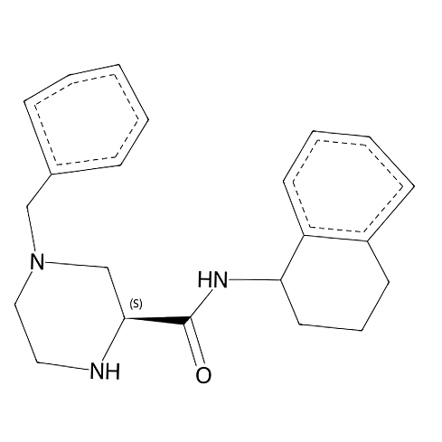 O=C(NC1CCCc2ccccc21)[C@@H]1CN(Cc2ccccc2)CCN1